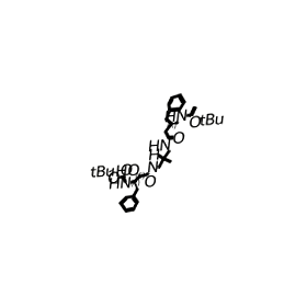 C=C(NC[C@@H](CC(=O)NCC(C)(C)CNC(=O)[C@@H](O)[C@@H](Cc1ccccc1)NC(=O)OC(C)(C)C)Cc1ccccc1)OC(C)(C)C